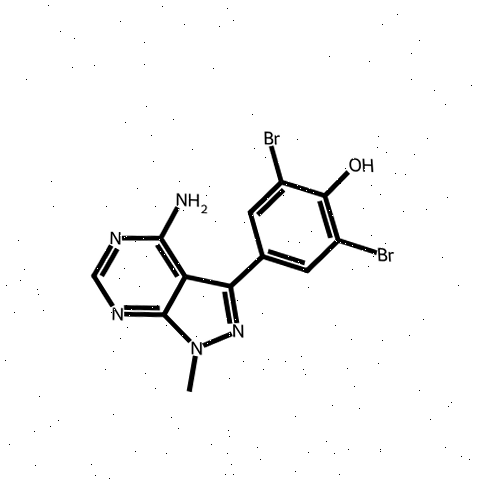 Cn1nc(-c2cc(Br)c(O)c(Br)c2)c2c(N)ncnc21